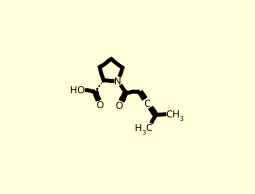 CC(C)=C=CC(=O)N1CCC[C@H]1C(=O)O